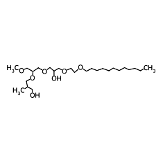 CCCCCCCCCCCCOCCOCC(O)COCC(COC)OCC(C)CO